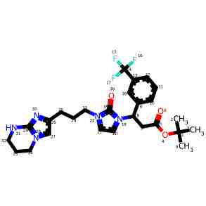 CC(C)(C)OC(=O)CC(c1cccc(C(F)(F)F)c1)n1ccn(CCCc2cn3c(n2)NCCC3)c1=O